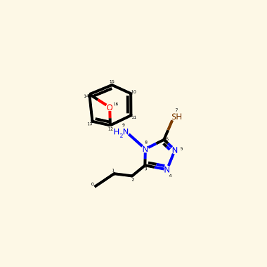 CCCc1nnc(S)n1N.c1cc2cc(c1)O2